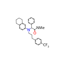 CNC(=O)C(c1ccccc1)N(CCCc1ccc(C(F)(F)F)cc1)c1ccc2c(c1)CCCC2